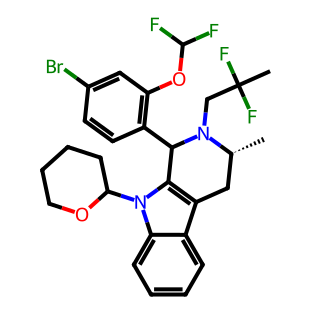 C[C@@H]1Cc2c(n(C3CCCCO3)c3ccccc23)C(c2ccc(Br)cc2OC(F)F)N1CC(C)(F)F